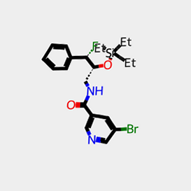 CC[Si](CC)(CC)O[C@H](CNC(=O)c1cncc(Br)c1)[C@@H](F)c1ccccc1